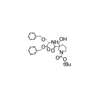 CC(C)(C)OC(=O)N1CCCC(CO)(C(=O)N[C@@H](COCc2ccccc2)C(=O)OCc2ccccc2)C1